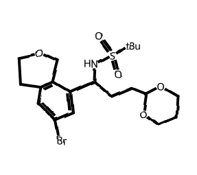 CC(C)(C)S(=O)(=O)NC(CCC1OCCCO1)c1cc(Br)cc2c1COCC2